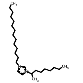 CCCCCCCCCCCCCCn1cc[n+](C(C)CCCCCCC)c1